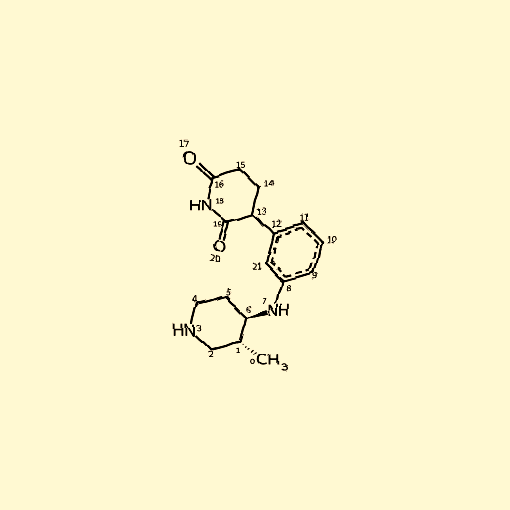 C[C@@H]1CNCC[C@H]1Nc1cccc(C2CCC(=O)NC2=O)c1